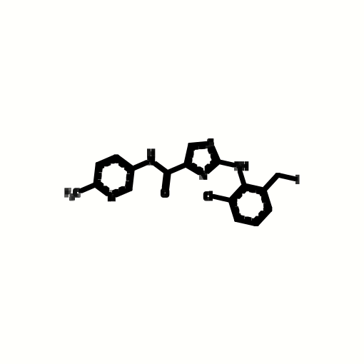 O=C(Nc1ccc(C(F)(F)F)nc1)c1csc(Nc2c(Cl)cccc2CI)n1